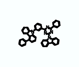 c1ccc(-c2nc(-c3cccc(-n4c5ccccc5c5c(-c6ccccc6)cccc54)c3)nc(-n3c4ccccc4c4ccccc43)n2)cc1